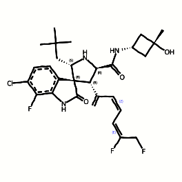 C=C(/C=C\C=C(\F)CF)[C@H]1[C@H](C(=O)N[C@H]2C[C@@](C)(O)C2)N[C@@H](CC(C)(C)C)[C@@]12C(=O)Nc1c2ccc(Cl)c1F